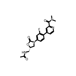 CC(=O)NC[C@H]1CN(c2ccc(-c3ccnc(C(=O)N(C)C)c3)c(F)c2)C(=O)O1